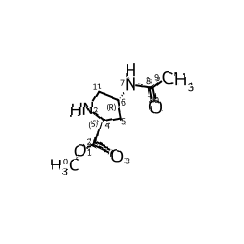 COC(=O)[C@@H]1C[C@@H](NC(C)=O)CN1